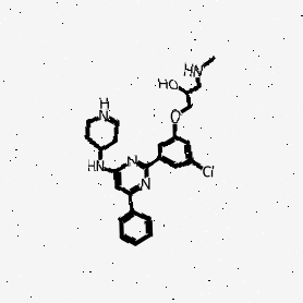 CNCC(O)COc1cc(Cl)cc(-c2nc(NC3CCNCC3)cc(-c3ccccc3)n2)c1